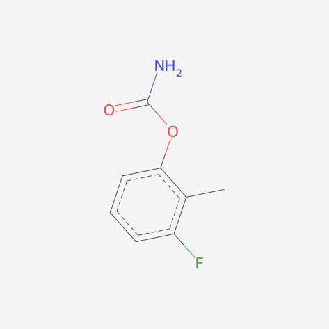 Cc1c(F)cccc1OC(N)=O